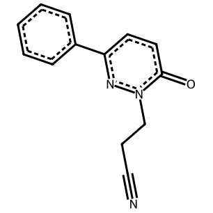 N#CCCn1nc(-c2ccccc2)ccc1=O